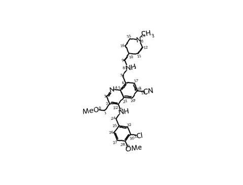 COCc1cnc2c(CNCC3CCN(C)CC3)cc(C#N)cc2c1NCc1ccc(OC)c(Cl)c1